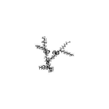 CCCCCCCCC(CCCCCCCC)COC(=O)CCCCCN(CCCCCC(=O)OCC(CCCCCC)CCCCCC)CCN(CCO)C1CCC1